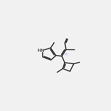 C=C/C(C)=C(/C1=C(C)CC1C)c1cc[nH]c1C